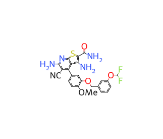 COc1ccc(-c2c(C#N)c(N)nc3sc(C(N)=O)c(N)c23)cc1OCc1cccc(OC(F)F)c1